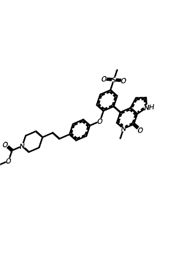 Cn1cc(-c2cc(S(C)(=O)=O)ccc2Oc2ccc(CCC3CCN(C(=O)OC(C)(C)C)CC3)cc2)c2cc[nH]c2c1=O